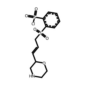 O=S(=O)(Cl)c1ccccc1S(=O)(=O)CC=CC1CNCCO1